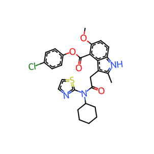 COc1ccc2[nH]c(C)c(CC(=O)N(c3nccs3)C3CCCCC3)c2c1C(=O)Oc1ccc(Cl)cc1